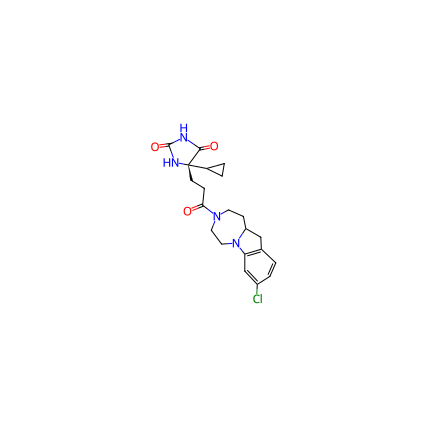 O=C1NC(=O)[C@](CCC(=O)N2CCC3Cc4ccc(Cl)cc4N3CC2)(C2CC2)N1